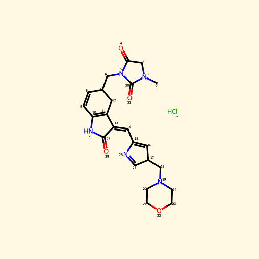 CN1CC(=O)N(CC2C=CC3=C(C2)C(=CC2=CC(CN4CCOCC4)C=N2)C(=O)N3)C1=O.Cl